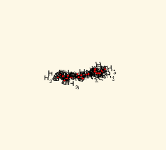 COC(=O)NC(C(=O)N1[C@@H](C)CC[C@H]1c1ncc(-c2ccc3c(c2)COc2cc4c(ccc5nc([C@@H]6C[C@H](C)CN6C(=O)[C@@H](NC(=O)OC)[C@H](C)OC)[nH]c54)cc2-3)[nH]1)C(C)C